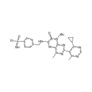 CCC(C)n1c(=O)c(NCc2ccc(S(=N)(=O)CC)cc2)nc2c(C)nc(-c3c(C)ncnc3C3CC3)nc21